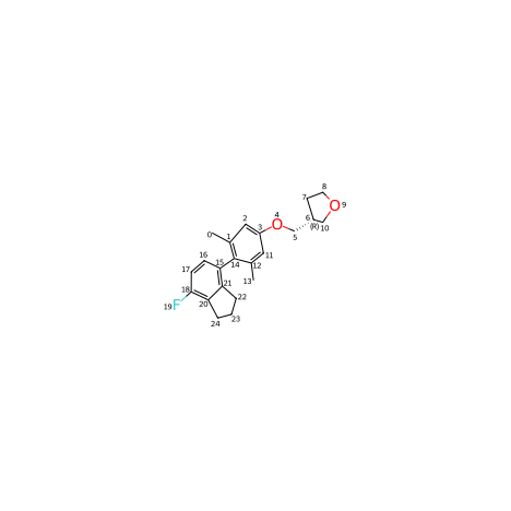 Cc1cc(OC[C@@H]2CCOC2)cc(C)c1-c1ccc(F)c2c1CCC2